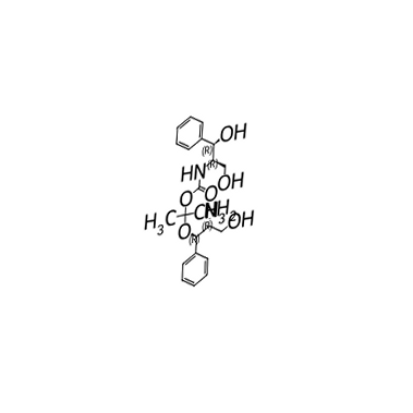 CC(C)(OC(=O)N[C@H](CO)[C@H](O)c1ccccc1)O[C@H](c1ccccc1)[C@H](N)CO